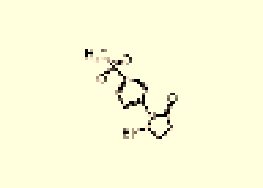 CCC1CCC(=O)N1c1ccc(S(C)(=O)=O)cc1